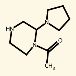 CC(=O)N1CCNCC1N1CCCC1